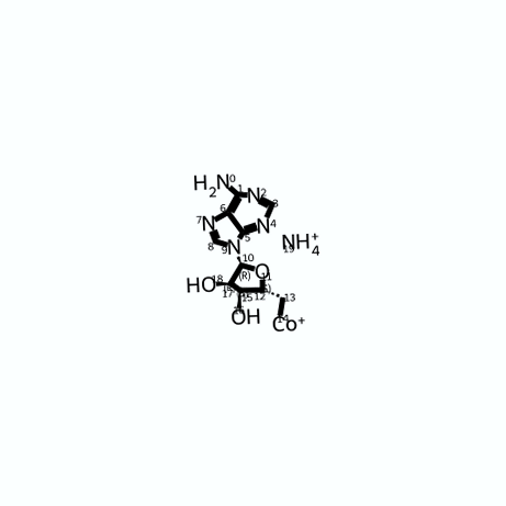 Nc1ncnc2c1ncn2[C@@H]1O[C@H]([CH2][Co+])[C@@H](O)[C@H]1O.[NH4+]